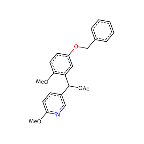 COc1ccc(C(OC(C)=O)c2cc(OCc3ccccc3)ccc2OC)cn1